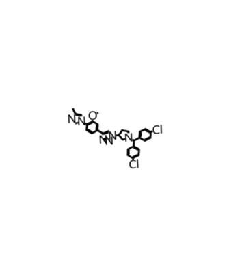 COc1cc(-c2cn(C3CCN(C(c4ccc(Cl)cc4)c4ccc(Cl)cc4)C3)nn2)ccc1-n1cnc(C)c1